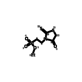 CCOS(=O)(=O)CCN1C(=O)CSC1=S